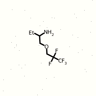 CCC(N)COCC(F)(F)C(F)(F)F